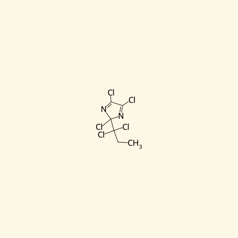 CCC(Cl)(Cl)C1(Cl)N=C(Cl)C(Cl)=N1